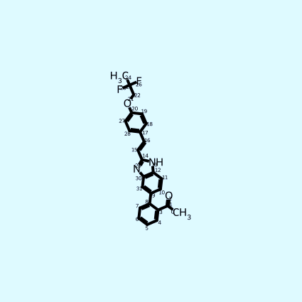 CC(=O)c1ccccc1-c1ccc2[nH]c(/C=C/c3ccc(OCC(C)(F)F)cc3)nc2c1